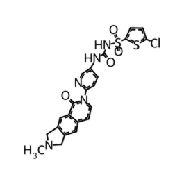 CN1Cc2cc3ccn(-c4ccc(NC(=O)NS(=O)(=O)c5ccc(Cl)s5)cn4)c(=O)c3cc2C1